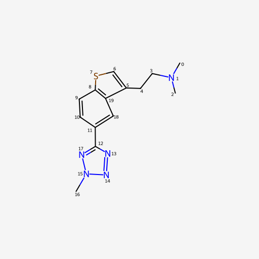 CN(C)CCc1csc2ccc(-c3nnn(C)n3)cc12